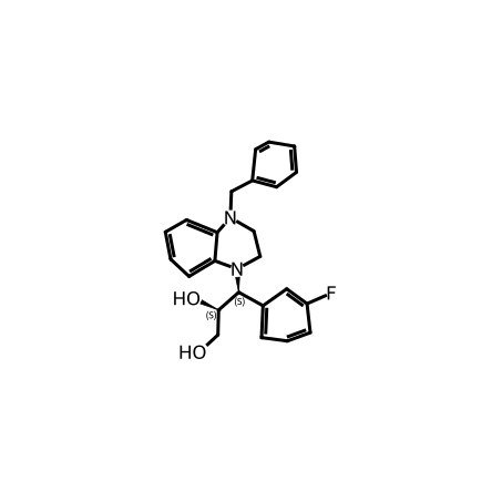 OC[C@@H](O)[C@H](c1cccc(F)c1)N1CCN(Cc2ccccc2)c2ccccc21